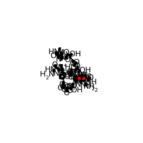 CO[C@H]1C(OP(=O)(O)OC[C@H]2O[C@@H](n3cnc4c(N)ncnc43)[C@@H](O)C2OP(=O)(O)OC[C@H]2O[C@@H](n3cnc4c(=O)[nH]c(C)nc43)[C@@H](O)C2O)[C@@H](COP(=O)(O)OP(=O)([O-])OP(=O)(O)OC[C@H]2CCC(O)(n3c[n+](C)c4c(=O)[nH]c(N)nc43)C2O)O[C@H]1n1cnc2c(=O)[nH]c(N)nc21